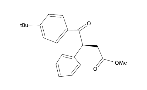 COC(=O)C[C@H](C(=O)c1ccc(C(C)(C)C)cc1)c1ccccc1